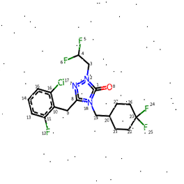 O=c1n(CC(F)F)nc(Cc2c(F)cccc2Cl)n1CC1CCC(F)(F)CC1